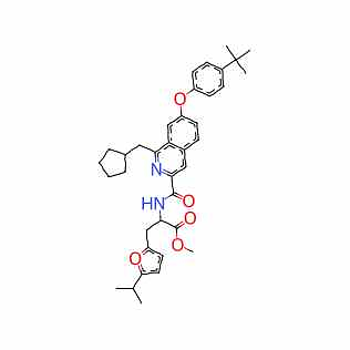 COC(=O)C(Cc1ccc(C(C)C)o1)NC(=O)c1cc2ccc(Oc3ccc(C(C)(C)C)cc3)cc2c(CC2CCCC2)n1